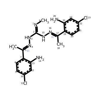 CN=C(N/N=C(\C)c1ccc(Cl)cc1N)N/N=C(\C)c1ccc(Cl)cc1N